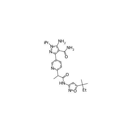 CCC(C)(C)c1cc(NC(=O)C(C)c2ccc(-c3nn(C(C)C)c(N)c3C(N)=O)cn2)no1